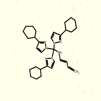 C=CC=[CH][Mn][C](n1ccc(C2CCCCC2)n1)(n1ccc(C2CCCCC2)n1)n1ccc(C2CCCCC2)n1